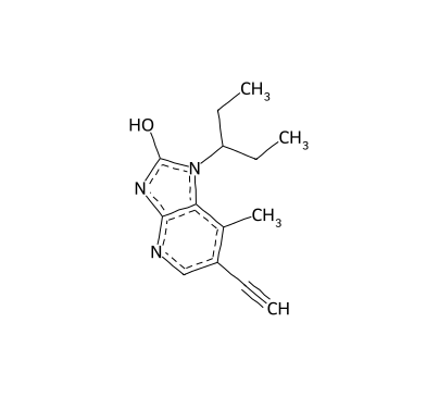 C#Cc1cnc2nc(O)n(C(CC)CC)c2c1C